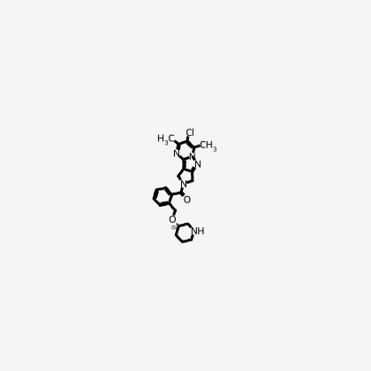 Cc1nc2c3c(nn2c(C)c1Cl)CN(C(=O)c1ccccc1CO[C@H]1CCCNC1)C3